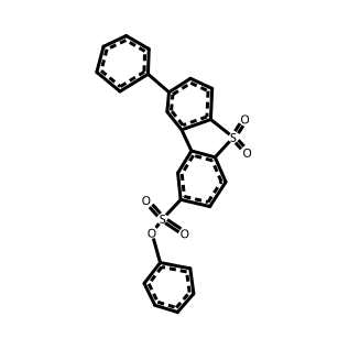 O=S(=O)(Oc1ccccc1)c1ccc2c(c1)-c1cc(-c3ccccc3)ccc1S2(=O)=O